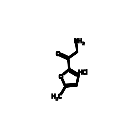 Cc1ccc(C(=O)CN)o1.Cl